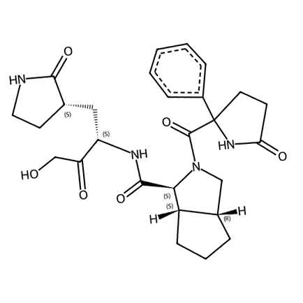 O=C1CCC(C(=O)N2C[C@@H]3CCC[C@@H]3[C@H]2C(=O)N[C@@H](C[C@@H]2CCNC2=O)C(=O)CO)(c2ccccc2)N1